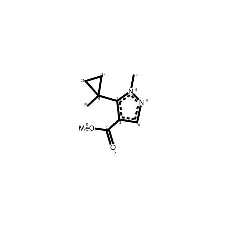 COC(=O)c1cnn(C)c1C1(C)CC1